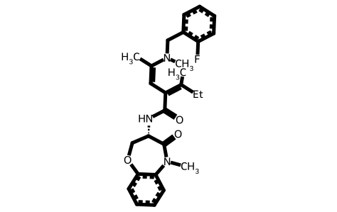 CC/C(C)=C(/C=C(/C)N(C)Cc1ccccc1F)C(=O)N[C@H]1COc2ccccc2N(C)C1=O